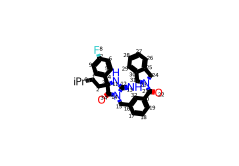 CC(C)CCC1(c2ccc(F)cc2)NC(=N)N(Cc2cccc(C(=O)N3Cc4ccccc4C3)c2)C1=O